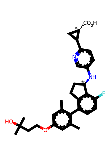 Cc1cc(OCCC(C)(C)O)cc(C)c1-c1ccc(F)c2c1CC[C@H]2Nc1ccc(C2C[C@@H]2C(=O)O)nc1